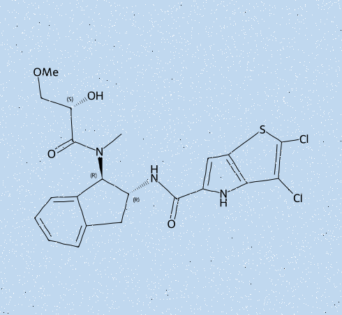 COC[C@H](O)C(=O)N(C)[C@@H]1c2ccccc2C[C@H]1NC(=O)c1cc2sc(Cl)c(Cl)c2[nH]1